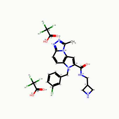 Cc1nnc2ccc3c(cc(C(=O)NCC4CNC4)n3Cc3cccc(Cl)c3)n12.O=C(O)C(F)(F)F.O=C(O)C(F)(F)F